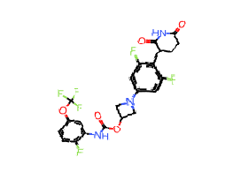 O=C1CCC(c2c(F)cc(N3CC(OC(=O)Nc4cc(OC(F)(F)F)ccc4F)C3)cc2F)C(=O)N1